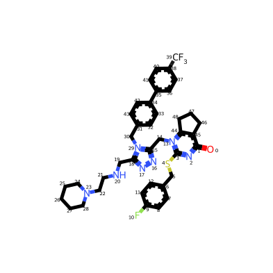 O=c1nc(SCc2ccc(F)cc2)n(Cc2nnc(CNCCN3CCCCC3)n2Cc2ccc(-c3ccc(C(F)(F)F)cc3)cc2)c2c1CCC2